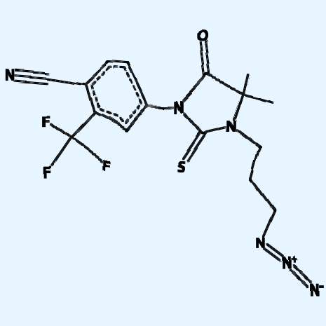 CC1(C)C(=O)N(c2ccc(C#N)c(C(F)(F)F)c2)C(=S)N1CCCN=[N+]=[N-]